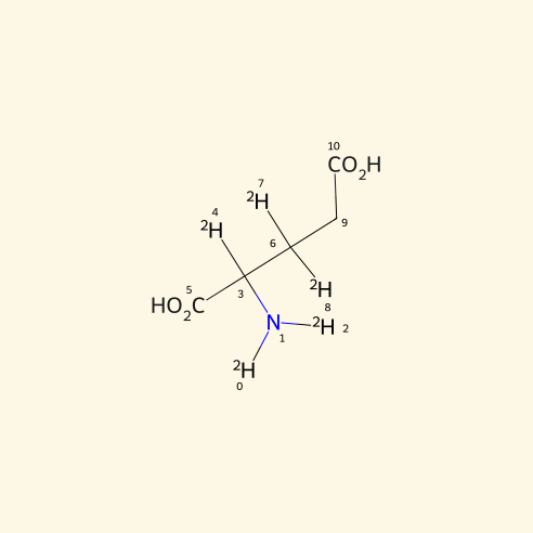 [2H]N([2H])C([2H])(C(=O)O)C([2H])([2H])CC(=O)O